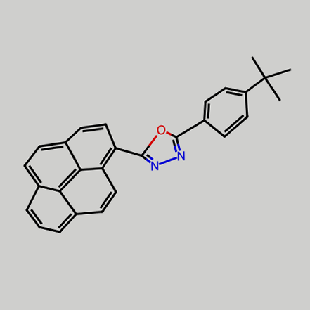 CC(C)(C)c1ccc(-c2nnc(-c3ccc4ccc5cccc6ccc3c4c56)o2)cc1